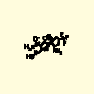 Cc1c([S+](C)[O-])c(/C=N/O)nn1-c1c(N)cc(C(F)(F)F)cc1Cl